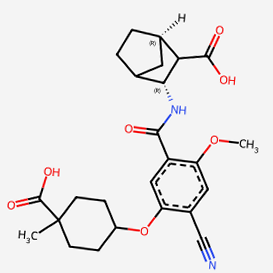 COc1cc(C#N)c(OC2CCC(C)(C(=O)O)CC2)cc1C(=O)N[C@@H]1C2CC[C@H](C2)C1C(=O)O